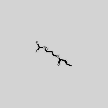 CC=CC(=O)OCCC[SiH2]C(F)F